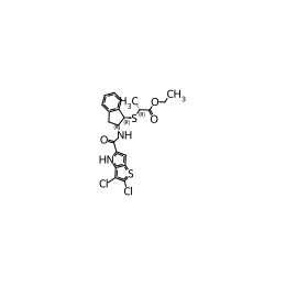 CCOC(=O)[C@@H](C)S[C@@H]1c2ccccc2C[C@H]1NC(=O)c1cc2sc(Cl)c(Cl)c2[nH]1